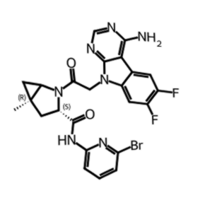 C[C@]12CC1N(C(=O)Cn1c3cc(F)c(F)cc3c3c(N)ncnc31)[C@H](C(=O)Nc1cccc(Br)n1)C2